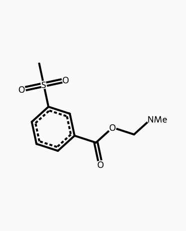 CNCOC(=O)c1cccc(S(C)(=O)=O)c1